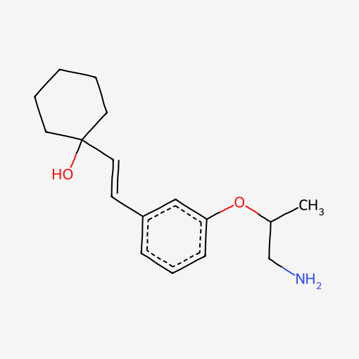 CC(CN)Oc1cccc(C=CC2(O)CCCCC2)c1